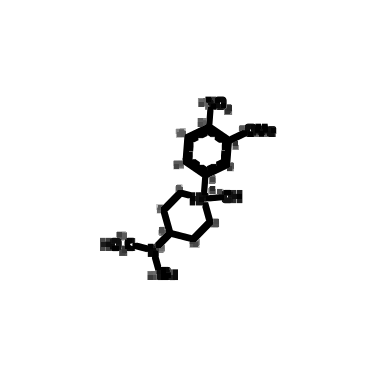 COc1cc([PH]2(O)CCC(N(C(=O)O)C(C)(C)C)CC2)ccc1[N+](=O)[O-]